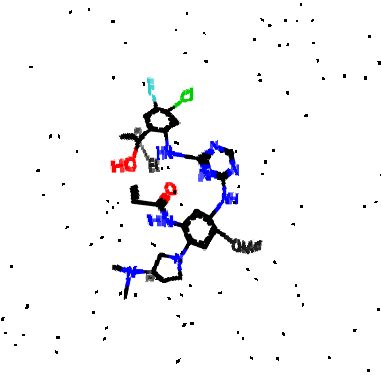 C=CC(=O)Nc1cc(Nc2ncnc(Nc3cc(Cl)c(F)cc3[C@](C)(O)CC)n2)c(OC)cc1N1CC[C@@H](N(C)C)C1